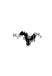 Cc1ccnc(-c2nnc(NC(=O)c3ccc(OC(F)(F)F)c(NC(=O)CN4CCN(C)CC4)c3)s2)c1